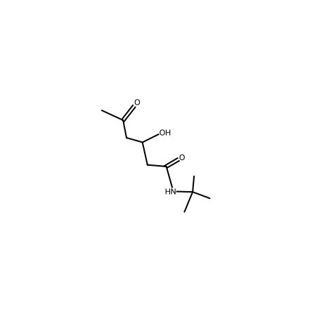 CC(=O)CC(O)CC(=O)NC(C)(C)C